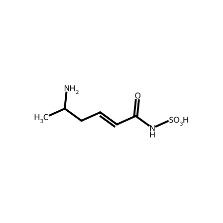 CC(N)CC=CC(=O)NS(=O)(=O)O